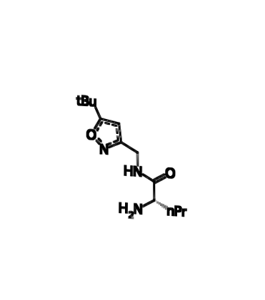 CCC[C@H](N)C(=O)NCc1cc(C(C)(C)C)on1